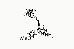 CNC(=O)N1CCN(CCCC#Cc2cn(Cc3ncc(C)c(OC)c3C)c3nc(N)nc(Cl)c23)CC1